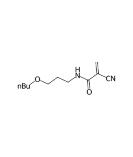 C=C(C#N)C(=O)NCCCOCCCC